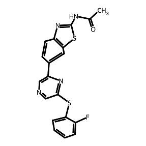 CC(=O)Nc1nc2ccc(-c3cncc(Sc4ccccc4F)n3)cc2s1